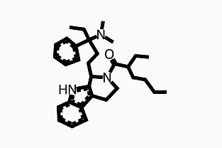 CCCCC(CC)C(=O)N1CCc2c([nH]c3ccccc23)C1CCC(CC)(c1ccccc1)N(C)C